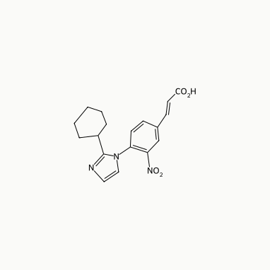 O=C(O)C=Cc1ccc(-n2ccnc2C2CCCCC2)c([N+](=O)[O-])c1